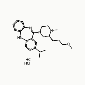 COCCC[C@H]1CN(C2=Nc3ccccc3Nc3ccc(C(C)C)cc32)CCN1C.Cl.Cl